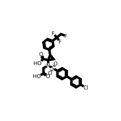 O=C(O)CN(C1(C(=O)O)CC1c1cccc(C(F)(F)CF)c1)S(=O)(=O)c1ccc(-c2ccc(Cl)cc2)cc1